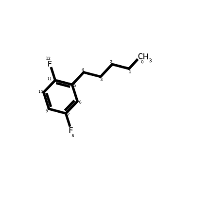 CC[CH]CCc1cc(F)ccc1F